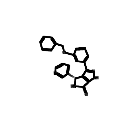 O=C1N[C@H](c2cccnc2)c2c(-c3cccc(OCc4ccccc4)c3)n[nH]c21